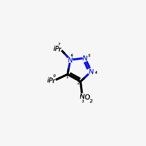 CC(C)c1c([N+](=O)[O-])nnn1C(C)C